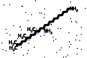 CC(C)=CCC/C(C)=C/CC/C(C)=C/CC(N)CCCCCCCCCCCN